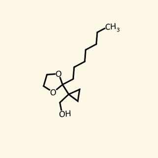 CCCCCCCC1(C2(CO)CC2)OCCO1